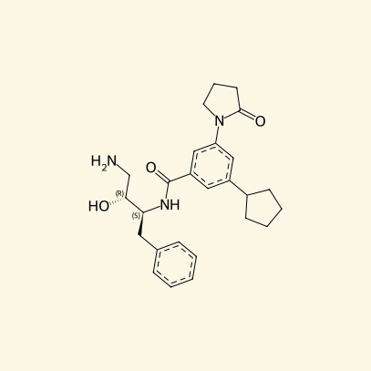 NC[C@@H](O)[C@H](Cc1ccccc1)NC(=O)c1cc(C2CCCC2)cc(N2CCCC2=O)c1